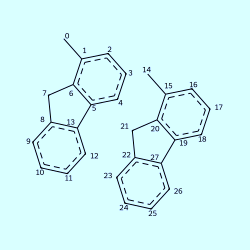 Cc1cccc2c1Cc1ccccc1-2.Cc1cccc2c1Cc1ccccc1-2